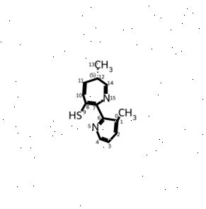 Cc1cccnc1C1=C(S)C=C[C@H](C)C=N1